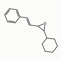 [c]1ccc(C=CC2OC2C2CCCCC2)cc1